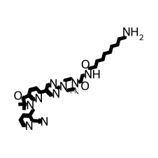 C[C@@H]1CN(c2ncc(-c3ccc4c(n3)N(Cc3cccnc3C#N)C(C)(C)C4=O)cn2)CCN1C(=O)CNC(=O)CCCCCCCCCN